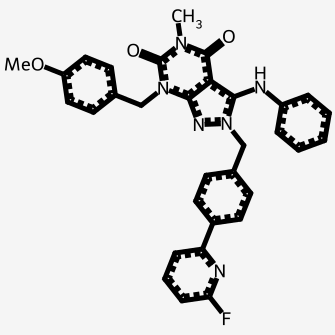 COc1ccc(Cn2c(=O)n(C)c(=O)c3c(Nc4ccccc4)n(Cc4ccc(-c5cccc(F)n5)cc4)nc32)cc1